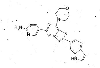 Nc1ccc(-c2nc(N3CCOCC3)c3sc(-c4ccc5cc[nH]c5c4)cc3n2)cn1